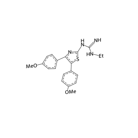 CCNC(=N)Nc1nc(-c2ccc(OC)cc2)c(-c2ccc(OC)cc2)s1